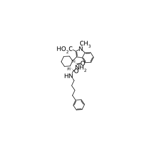 Cn1c(C(=O)O)c([C@]2(C(N)=O)CCCC[C@H]2C(=O)NCCCCc2ccccc2)c2ccccc21